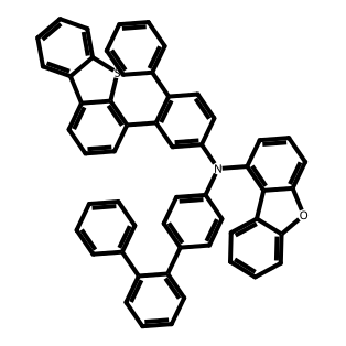 c1ccc(-c2ccccc2-c2ccc(N(c3ccc(-c4ccccc4)c(-c4cccc5c4sc4ccccc45)c3)c3cccc4oc5ccccc5c34)cc2)cc1